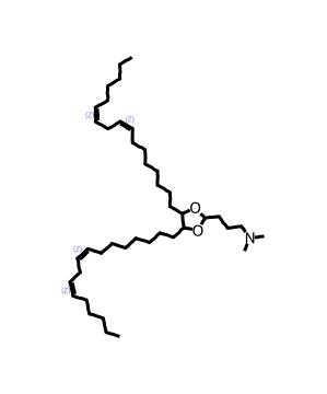 CCCCC/C=C\C/C=C\CCCCCCCC1OC(CCCN(C)C)OC1CCCCCCC/C=C\C/C=C\CCCCC